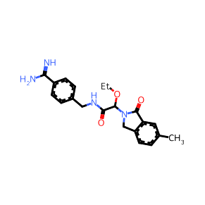 CCOC(C(=O)NCc1ccc(C(=N)N)cc1)N1Cc2ccc(C)cc2C1=O